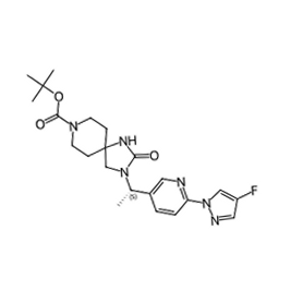 C[C@@H](c1ccc(-n2cc(F)cn2)nc1)N1CC2(CCN(C(=O)OC(C)(C)C)CC2)NC1=O